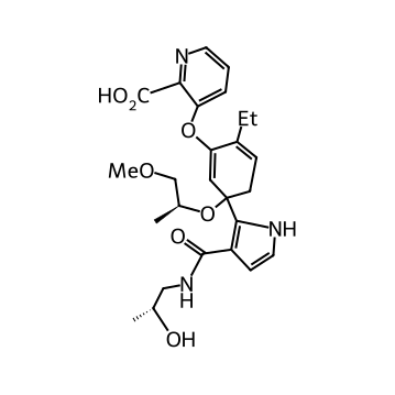 CCC1=CCC(O[C@@H](C)COC)(c2[nH]ccc2C(=O)NC[C@@H](C)O)C=C1Oc1cccnc1C(=O)O